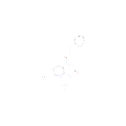 COc1ccc2c(n1)N(C[C@@H]1CO1)C(=O)CN2C(=O)OCc1ccccc1